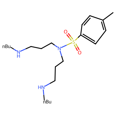 CCCCNCCCN(CCCNCCCC)S(=O)(=O)c1ccc(C)cc1